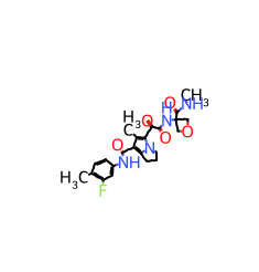 CNC(=O)C1(NC(=O)C(=O)c2c(C)c(C(=O)Nc3ccc(C)c(F)c3)c3n2CCC3)COC1